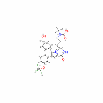 CC(C)(C)N(CCC[C@H]1CNC(=O)c2cc(-c3cccc(OC(F)(F)F)c3)c(-c3ccc(CO)cc3)n21)C(=O)O